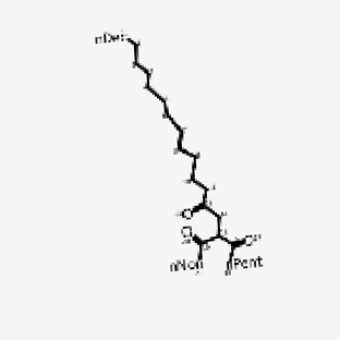 CCCCCCCCCCCCCCCCCCCCCC(=O)CC(C(=O)CCCCC)C(=O)CCCCCCCCC